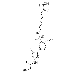 COc1ccc(-c2sc(NC(=O)CC(C)C)nc2C)cc1S(=O)(=O)NCCCCCCC(=O)NO